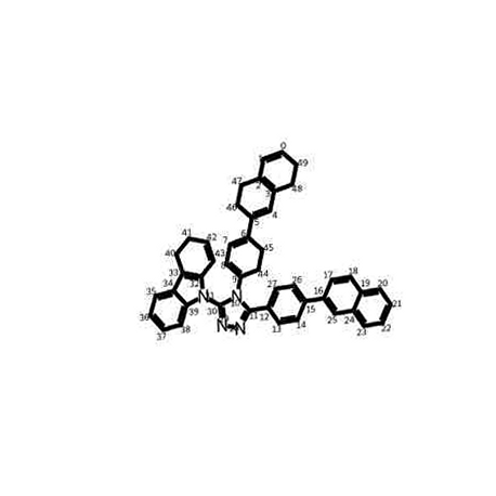 C1=CC2=C(C=C(C3=CC=C(n4c(-c5ccc(-c6ccc7ccccc7c6)cc5)nnc4-n4c5c(c6ccccc64)CCC=C5)CC3)CC2)CC1